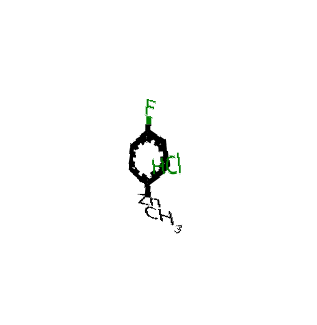 Cl.[CH3][Zn][c]1ccc(F)cc1